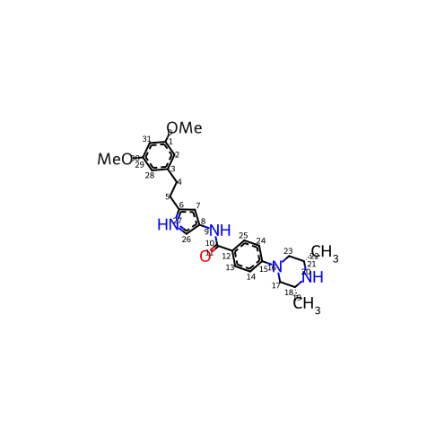 COc1cc(CCc2cc(NC(=O)c3ccc(N4C[C@@H](C)N[C@@H](C)C4)cc3)c[nH]2)cc(OC)c1